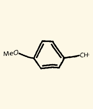 [CH]c1ccc(OC)cc1